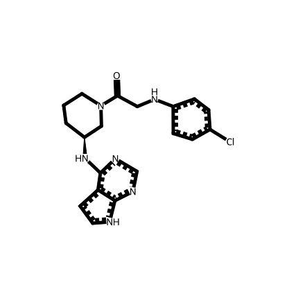 O=C(CNc1ccc(Cl)cc1)N1CCC[C@H](Nc2ncnc3[nH]ccc23)C1